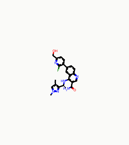 Cc1cn(C)nc1[C@H](C)Nc1c(C(N)=O)cnc2ccc(-c3ccc(CO)nc3F)cc12